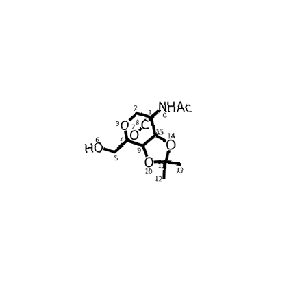 CC(=O)NC12COC(CO)(OC1)C1OC(C)(C)OC12